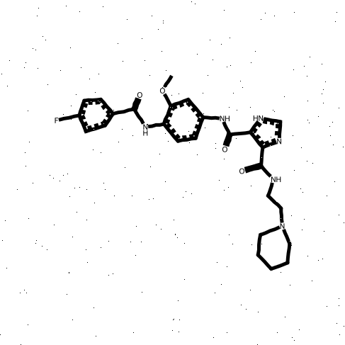 COc1cc(NC(=O)c2[nH]cnc2C(=O)NCCN2CCCCC2)ccc1NC(=O)c1ccc(F)cc1